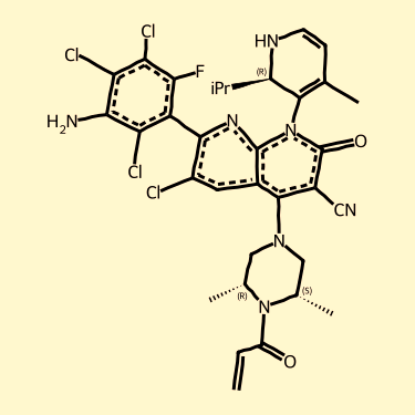 C=CC(=O)N1[C@H](C)CN(c2c(C#N)c(=O)n(C3=C(C)C=CN[C@@H]3C(C)C)c3nc(-c4c(F)c(Cl)c(Cl)c(N)c4Cl)c(Cl)cc23)C[C@@H]1C